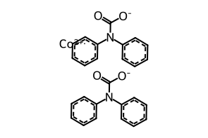 O=C([O-])N(c1ccccc1)c1ccccc1.O=C([O-])N(c1ccccc1)c1ccccc1.[Co+2]